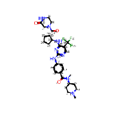 CN1CCC(N(C)C(=O)c2ccc(Nc3ncc(C(F)(F)F)c(NC4CCC[C@@H]4C(=O)N4CCNC(=O)C4)n3)cc2)CC1